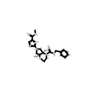 COC(=O)c1cnc(N2C[C@@H]3OCCN(C(=O)OCc4ccccc4)[C@@H]3C2)s1